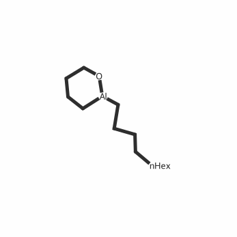 CCCCCCCCC[CH2][Al]1[CH2]CCC[O]1